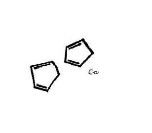 C1=CCC=C1.C1=CCC=C1.[Co]